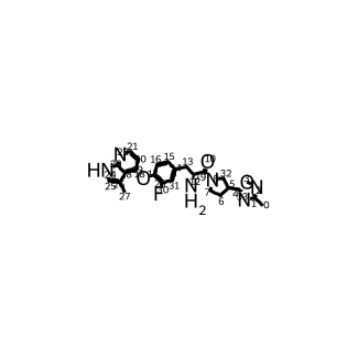 Cc1noc(C2CCN(C(=O)[C@@H](N)Cc3ccc(Oc4ccnc5[nH]cc(C)c45)c(F)c3)C2)n1